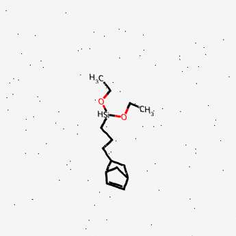 CCO[SiH](CCCC1CC2C=CC1C2)OCC